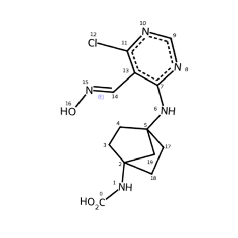 O=C(O)NC12CCC(Nc3ncnc(Cl)c3/C=N/O)(CC1)C2